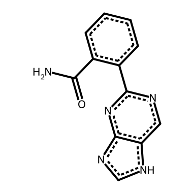 NC(=O)c1ccccc1-c1ncc2[nH]cnc2n1